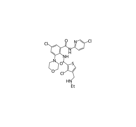 CCNCc1csc(C(=O)Nc2c(C(=O)Nc3ccc(Cl)cn3)cc(Cl)cc2N2CCOCC2)c1Cl